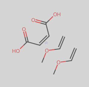 C=COC.C=COC.O=C(O)/C=C\C(=O)O